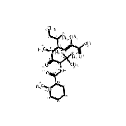 CCC(C)[C@@H](/C=C(\C)C(=O)O)N(C)C(=O)[C@@H](NC(=O)[C@H]1CCCCN1C)C(C)(C)C